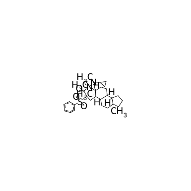 CN(C1CC1)[N+]1(C)C(=O)C(S(=O)(=O)c2ccccc2)C[C@@]2(C)[C@H]1CC[C@H]1[C@@H]3CCC[C@@]3(C)CC[C@@H]12